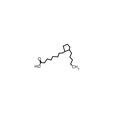 CCCCCC1[CH]CCC1CCCCCCCC(=O)O